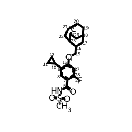 CS(=O)(=O)NC(=O)c1cc(C2CC2)c(OCC2CC3CC4CCC2C(C4)C3)cc1F